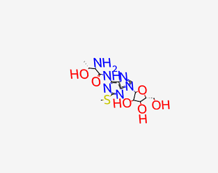 CSc1nc(NC(=O)[C@@H](N)[C@@H](C)O)c2ncn([C@@H]3O[C@H](CO)[C@@H](O)[C@H]3O)c2n1